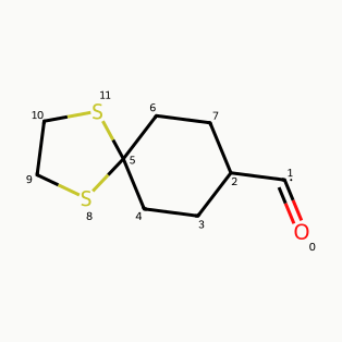 O=[C]C1CCC2(CC1)SCCS2